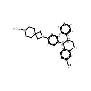 O=C(O)N1CCC2(CC1)CN(c1ccc([C@@H]3c4ccc(O)cc4OC[C@@H]3c3ccccc3)cc1)C2